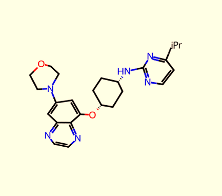 CC(C)c1ccnc(N[C@H]2CC[C@@H](Oc3cc(N4CCOCC4)cc4nccnc34)CC2)n1